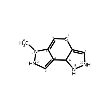 CN1NC=C2C1=CSC1=CNNC12